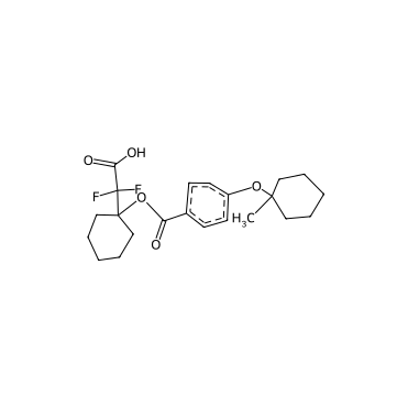 CC1(Oc2ccc(C(=O)OC3(C(F)(F)C(=O)O)CCCCC3)cc2)CCCCC1